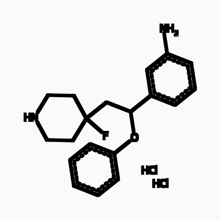 Cl.Cl.Nc1cccc(C(CC2(F)CCNCC2)Oc2ccccc2)c1